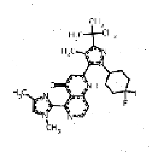 Cc1cn(C)c(-c2nccc3[nH]c(-c4c(C)c(C(C)(C)C)nn4C4CCC(F)(F)CC4)cc(=O)c23)n1